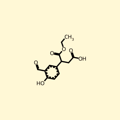 CCOC(=O)C(CC(=O)O)c1ccc(O)c(C=O)c1